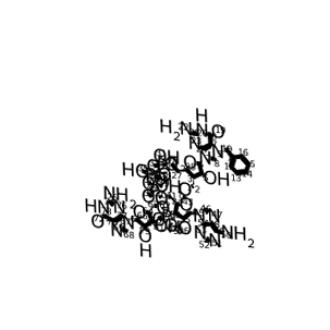 COC[C@H]1[C@@H](O)[C@H](n2c[n+](Cc3ccccc3)c3c(=O)[nH]c(N)nc32)O[C@@H]1COP(=O)(O)OP(=O)(O)OP(=O)(O)OC[C@H]1O[C@@H](n2cnc3c(N)ncnc32)[C@H](OC)[C@@H]1P(=O)([O-])OC[C@H]1O[C@@H](n2cnc3c(=O)[nH]c(N)nc32)[C@H](O)[C@@H]1O